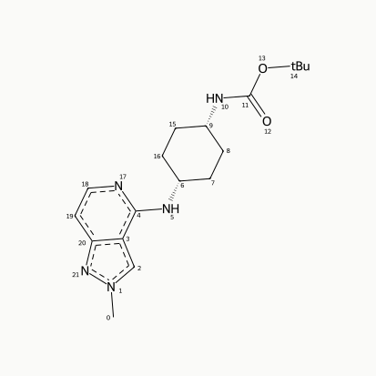 Cn1cc2c(N[C@H]3CC[C@@H](NC(=O)OC(C)(C)C)CC3)nccc2n1